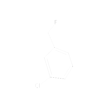 F[CH]c1cccc(Cl)c1